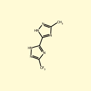 Cc1n[nH]c(-c2nc(C(F)(F)F)n[nH]2)n1